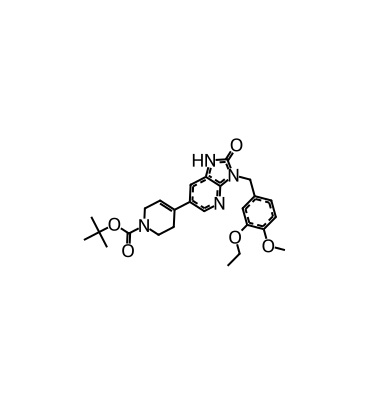 CCOc1cc(Cn2c(=O)[nH]c3cc(C4=CCN(C(=O)OC(C)(C)C)CC4)cnc32)ccc1OC